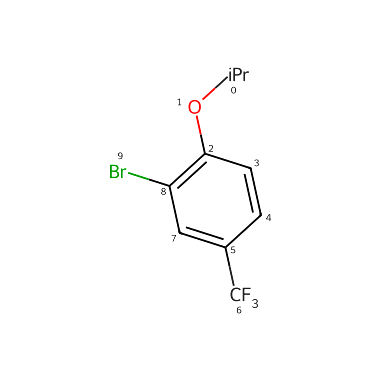 CC(C)Oc1ccc(C(F)(F)F)cc1Br